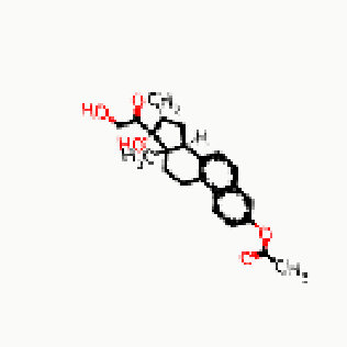 CC(=O)Oc1ccc2c3c(ccc2c1)[C@@H]1C[C@@H](C)[C@](O)(C(=O)CO)[C@@]1(C)CC3